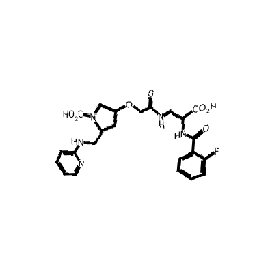 O=C(COC1CC(CNc2ccccn2)N(C(=O)O)C1)NCC(NC(=O)c1ccccc1F)C(=O)O